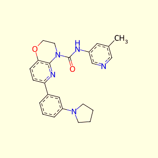 Cc1cncc(NC(=O)N2CCOc3ccc(-c4cccc(N5CCCC5)c4)nc32)c1